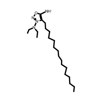 CCCCCCCCCCCCCCCCc1c([NH-])on[n+]1N(CC)CC